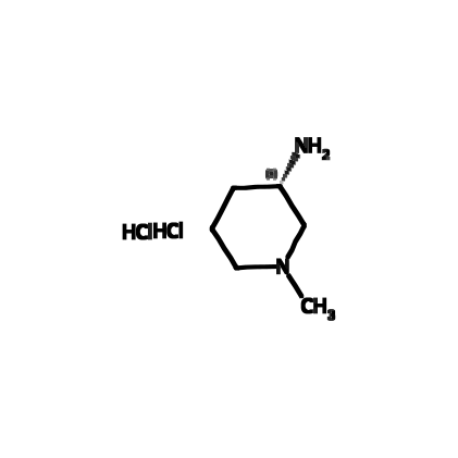 CN1CCC[C@H](N)C1.Cl.Cl